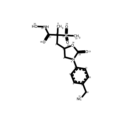 CC(CC1CN(c2ccc(CC#N)cc2)C(=O)O1)(C(=O)NO)S(C)(=O)=O